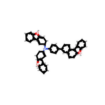 C1=C(N(c2ccc(-c3ccc4c(ccc5oc6ccccc6c54)c3)cc2)C2C=c3c(oc4ccccc34)=CC2)CCc2oc3ccccc3c21